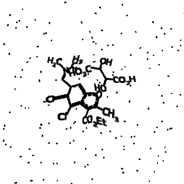 CCOC(=O)c1c(C)oc2c1=C(Cl)C(=O)C(CN(C)C)C=2.O=C(O)C(O)C(O)C(=O)O